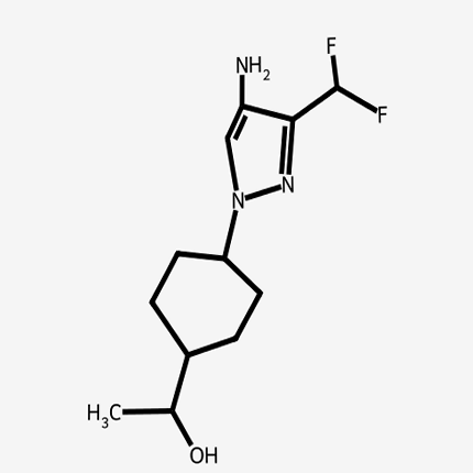 CC(O)C1CCC(n2cc(N)c(C(F)F)n2)CC1